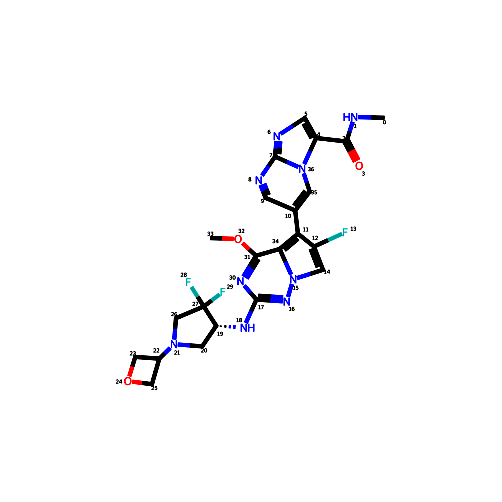 CNC(=O)c1cnc2ncc(-c3c(F)cn4nc(N[C@@H]5CN(C6COC6)CC5(F)F)nc(OC)c34)cn12